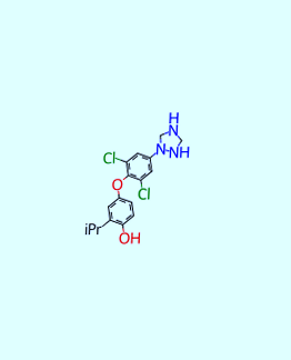 CC(C)c1cc(Oc2c(Cl)cc(N3CNCN3)cc2Cl)ccc1O